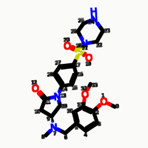 COc1ccc(CN(C)[C@@H]2CC(=O)N(c3ccc(S(=O)(=O)N4CCNCC4)cc3)C2)cc1OC